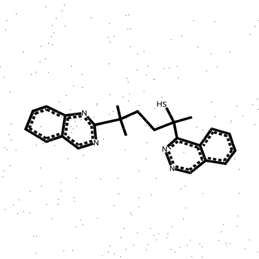 CC(C)(CCC(C)(S)c1nncc2ccccc12)c1ncc2ccccc2n1